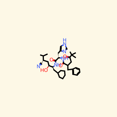 CC(C)[C@@H](C#N)C[C@H](O)[C@H](CC1CCCCC1)NC(=O)[C@H](Cc1c[nH]cn1)NC(=O)C(CC(=O)C(C)(C)C)Cc1ccccc1